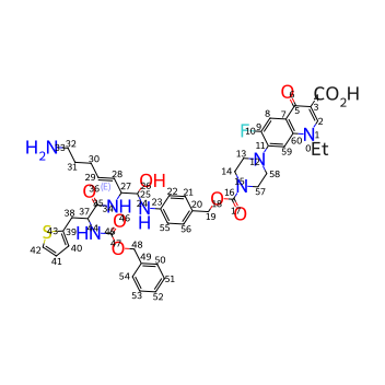 CCn1cc(C(=O)O)c(=O)c2cc(F)c(N3CCN(C(=O)OCc4ccc(NC(O)C(/C=C/CCCN)NC(=O)C(Cc5cccs5)NC(=O)OCc5ccccc5)cc4)CC3)cc21